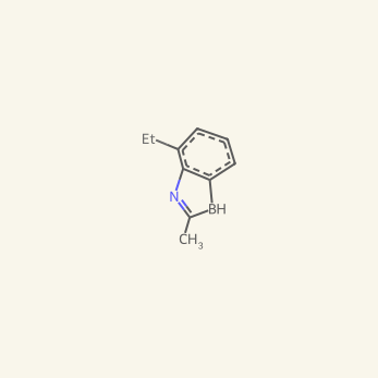 CCc1cccc2c1N=C(C)B2